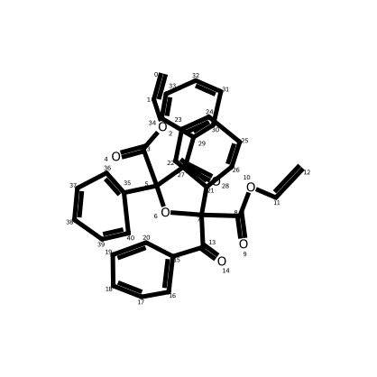 C=COC(=O)C(OC(C(=O)OC=C)(C(=O)c1ccccc1)c1ccccc1)(C(=O)c1ccccc1)c1ccccc1